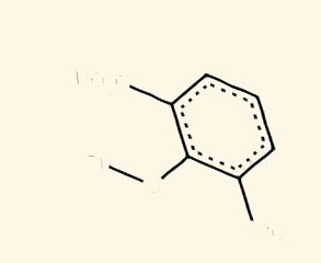 CCOc1c(C(=O)O)cccc1C(C)(C)C